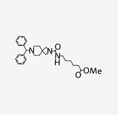 COC(=O)CCCCCNC(=O)N1CC2(CCN(C(c3ccccc3)c3ccccc3)CC2)C1